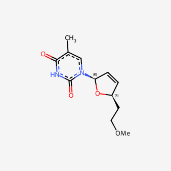 COCC[C@@H]1C=C[C@H](n2cc(C)c(=O)[nH]c2=O)O1